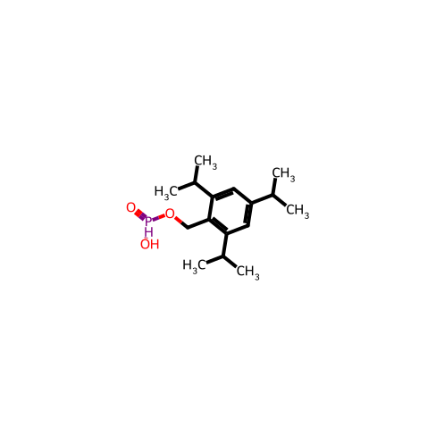 CC(C)c1cc(C(C)C)c(CO[PH](=O)O)c(C(C)C)c1